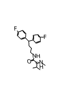 CN[C@H](C(=O)NCCCC(c1ccc(F)cc1)c1ccc(F)cc1)C(C)C